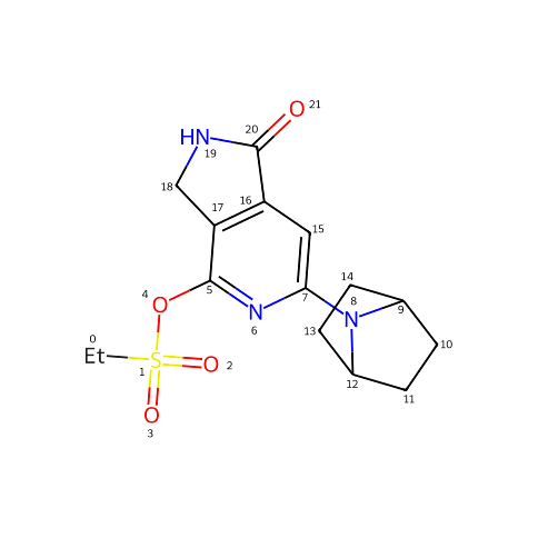 CCS(=O)(=O)Oc1nc(N2C3CCC2CC3)cc2c1CNC2=O